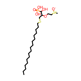 CCCCCCCCCCCCCCCCCCSCC(OCC[S+](C)[O-])C(O)P(=O)(O)O